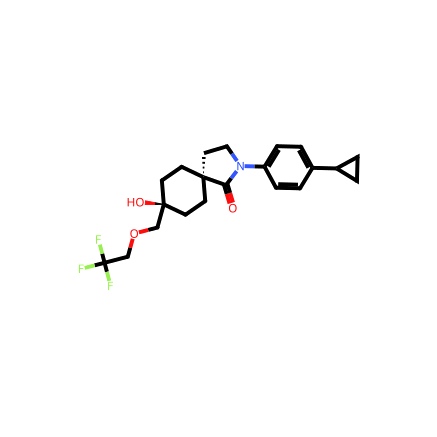 O=C1N(c2ccc(C3CC3)cc2)CC[C@]12CC[C@@](O)(COCC(F)(F)F)CC2